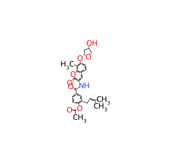 CC(=O)Oc1ccc(C(=O)Nc2cc3ccc(O[C@@H]4C[C@@H](O)CO4)c(C)c3oc2=O)cc1CC=C(C)C